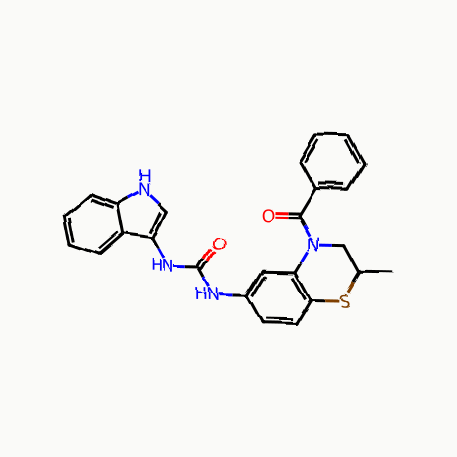 CC1CN(C(=O)c2ccccc2)c2cc(NC(=O)Nc3c[nH]c4ccccc34)ccc2S1